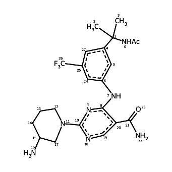 CC(=O)NC(C)(C)c1cc(Nc2nc(N3CCCC(N)C3)ncc2C(N)=O)cc(C(F)(F)F)c1